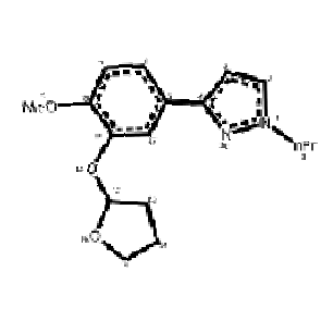 CCCn1ccc(-c2ccc(OC)c(OC3CCCO3)c2)n1